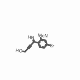 CNc1cc(Br)ccc1C(=N)C#CCO